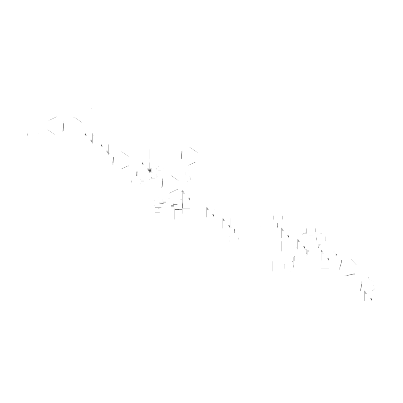 Cc1ncsc1-c1ccc([C@H](C)NC(=O)[C@@H]2C[C@@H](O)CN2C(=O)C(NC(=O)CCCCC(=O)N2CCN(CCC(CSc3ccccc3)Nc3ccc(S(=O)(=O)NC(=O)c4ccc(N5CCN(CC6=C(c7ccc(Cl)cc7)CCC(C)(C)C6)CC5)cc4)cc3S(=O)(=O)C(F)(F)F)CC2)C(C)(C)C)cc1